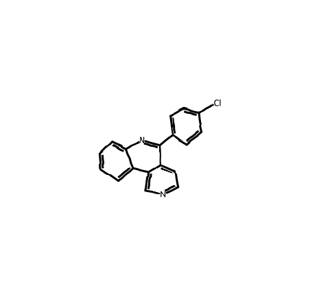 Clc1ccc(-c2nc3ccccc3c3cnccc23)cc1